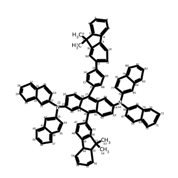 CC1(C)c2ccccc2-c2ccc(-c3ccc(-c4c5ccc(N(c6ccc7ccccc7c6)c6ccc7ccccc7c6)cc5c(-c5ccc6c(c5)C(C)(C)C5C=CC=CC65)c5ccc(N(c6ccc7ccccc7c6)c6ccc7ccccc7c6)cc45)cc3)cc21